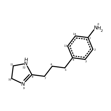 Nc1ccc(CCCC2=NCCN2)cc1